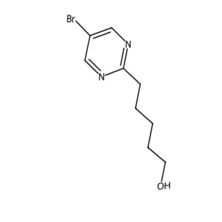 OCCCCCc1ncc(Br)cn1